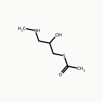 CNCC(O)CSC(C)=O